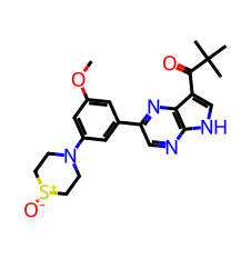 COc1cc(-c2cnc3[nH]cc(C(=O)C(C)(C)C)c3n2)cc(N2CC[S+]([O-])CC2)c1